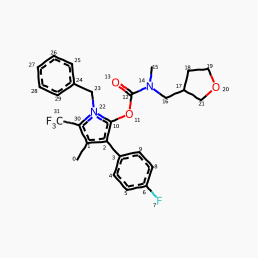 Cc1c(-c2ccc(F)cc2)c(OC(=O)N(C)CC2CCOC2)n(Cc2ccccc2)c1C(F)(F)F